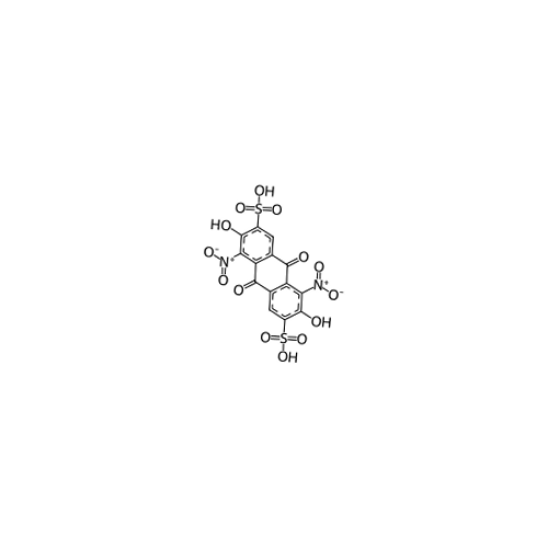 O=C1c2cc(S(=O)(=O)O)c(O)c([N+](=O)[O-])c2C(=O)c2cc(S(=O)(=O)O)c(O)c([N+](=O)[O-])c21